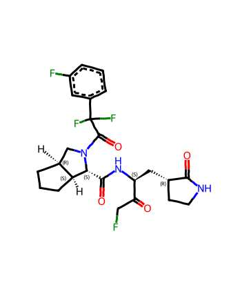 O=C1NCC[C@@H]1C[C@H](NC(=O)[C@@H]1[C@H]2CCC[C@H]2CN1C(=O)C(F)(F)c1cccc(F)c1)C(=O)CF